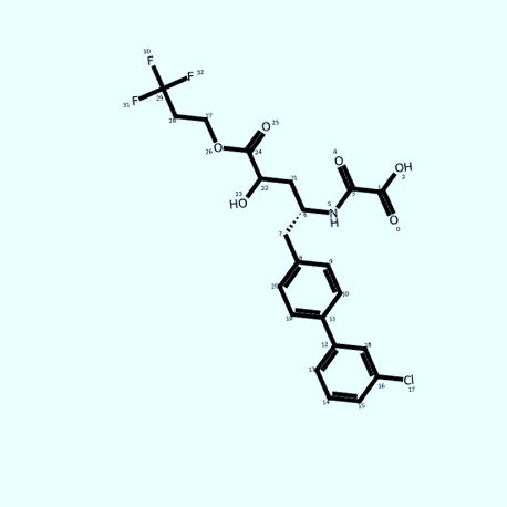 O=C(O)C(=O)N[C@H](Cc1ccc(-c2cccc(Cl)c2)cc1)CC(O)C(=O)OCCC(F)(F)F